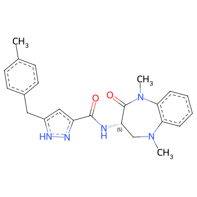 Cc1ccc(Cc2cc(C(=O)N[C@H]3CN(C)c4ccccc4N(C)C3=O)n[nH]2)cc1